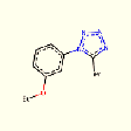 CCOc1cccc(-n2nnnc2C(C)C)c1